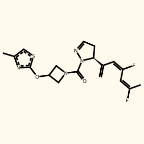 C=C(/C=C(F)\C=C(/C)F)[C@@H]1CC=NN1C(=O)N1CC(Oc2nc(C)cs2)C1